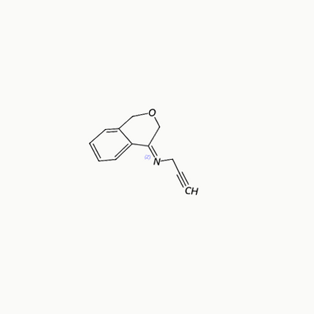 C#CC/N=C1\COCc2ccccc21